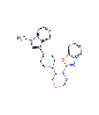 Cn1cc(C2CCN(C3COCCN3c3nc4ccccc4o3)CC2)c2ccccc21